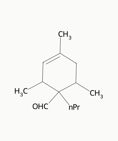 CCCC1(C=O)C(C)C=C(C)CC1C